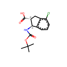 CC(C)(C)OC(=O)N[C@@H]1c2cccc(Cl)c2C[C@H]1C(=O)O